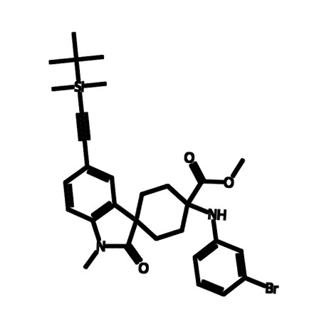 COC(=O)C1(Nc2cccc(Br)c2)CCC2(CC1)C(=O)N(C)c1ccc(C#C[Si](C)(C)C(C)(C)C)cc12